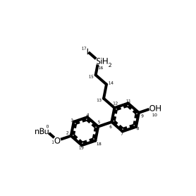 CCCCOc1ccc(-c2ccc(O)cc2CCC[SiH2]I)cc1